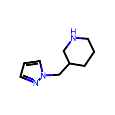 c1cnn(CC2CCCNC2)c1